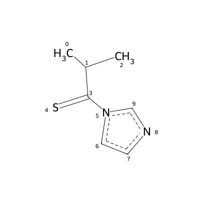 CC(C)C(=S)n1ccnc1